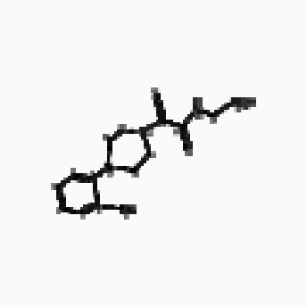 CC(C)(C)c1ccccc1N1CCN(C(=O)C(=O)NCC(=O)O)CC1